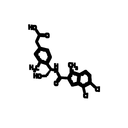 Cc1cc(CC(=O)O)ccc1[C@@H](CO)NC(=O)c1cc2c(Cl)c(Cl)ccc2n1C